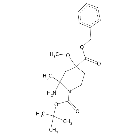 COC1(C(=O)OCc2ccccc2)CCN(C(=O)OC(C)(C)C)C(C)(N)C1